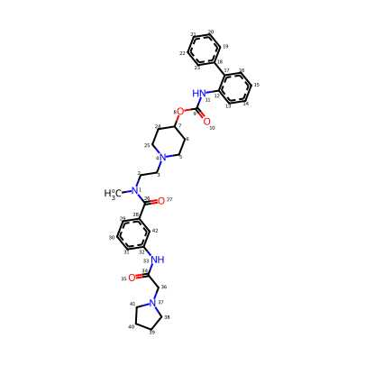 CN(CCN1CCC(OC(=O)Nc2ccccc2-c2ccccc2)CC1)C(=O)c1cccc(NC(=O)CN2CCCC2)c1